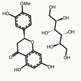 COc1ccc([C@@H]2CC(=O)c3c(O)cc(O)cc3O2)cc1O.OC[C@@H](O)[C@@H](O)[C@H](O)[C@H](O)CO